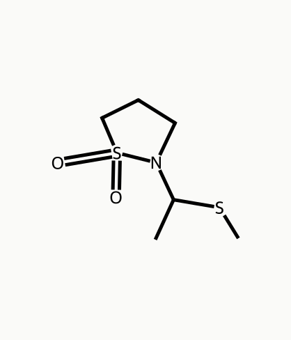 CSC(C)N1CCCS1(=O)=O